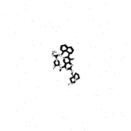 CN(c1nc(OC[C@@]23CCCN2C[C@H](F)C3)nc2c(F)c(-c3cccc4cccc(Cl)c34)ncc12)[C@H]1CN(C(=O)OC(C)(C)C)C[C@@H]1F